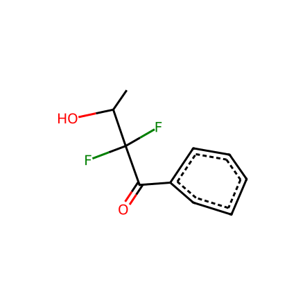 CC(O)C(F)(F)C(=O)c1ccccc1